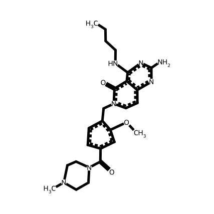 CCCCNc1nc(N)nc2ccn(Cc3ccc(C(=O)N4CCN(C)CC4)cc3OC)c(=O)c12